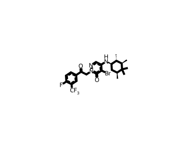 C[C@@H]1[C@@H](C)C(C)(C)[C@@H](C)C[C@H]1Nc1cnn(CC(=O)c2ccc(F)c(C(F)(F)F)c2)c(=O)c1Br